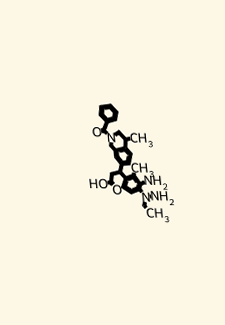 CCN(N)c1ccc(C(CC(=O)O)c2ccc3c(c2)CN(C(=O)c2ccccc2)CC3C)c(C)c1N